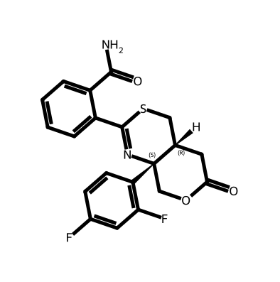 NC(=O)c1ccccc1C1=N[C@@]2(c3ccc(F)cc3F)COC(=O)C[C@H]2CS1